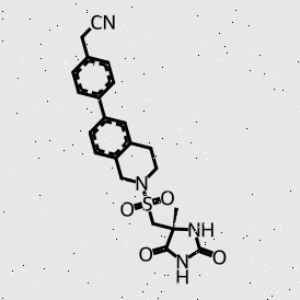 C[C@@]1(CS(=O)(=O)N2CCc3cc(-c4ccc(CC#N)cc4)ccc3C2)NC(=O)NC1=O